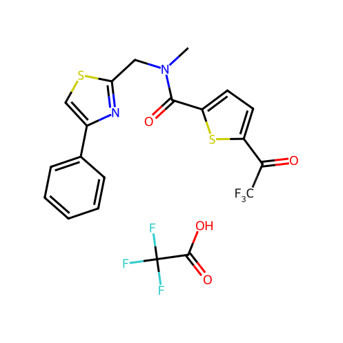 CN(Cc1nc(-c2ccccc2)cs1)C(=O)c1ccc(C(=O)C(F)(F)F)s1.O=C(O)C(F)(F)F